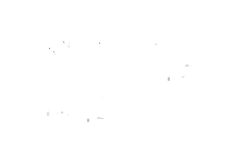 CCCCCC(CCCCC)CCOC(=O)CCCCCCCC1(CCCCCCCC(=O)OCCC(CCCCC)CCCCC)OCC(CCN2CCN(C)CC2)O1